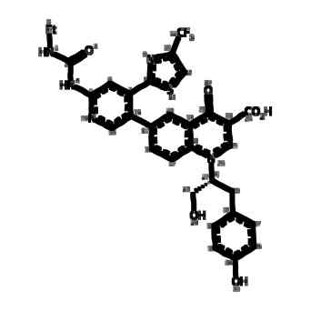 CCNC(=O)Nc1cc(-c2nc(C(F)(F)F)cs2)c(-c2ccc3c(c2)c(=O)c(C(=O)O)cn3[C@@H](CO)Cc2ccc(O)cc2)cn1